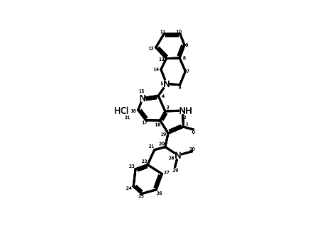 Cc1[nH]c2c(N3CCc4ccccc4C3)nccc2c1C(Cc1ccccc1)N(C)C.Cl